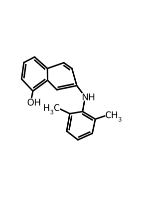 Cc1cccc(C)c1Nc1ccc2cccc(O)c2c1